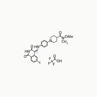 CON(C)C(=O)C1CCN(c2ccc(N/C=C3\C(=O)NC(=O)c4ccc(I)cc43)cc2)CC1.O=C(O)C(F)(F)F